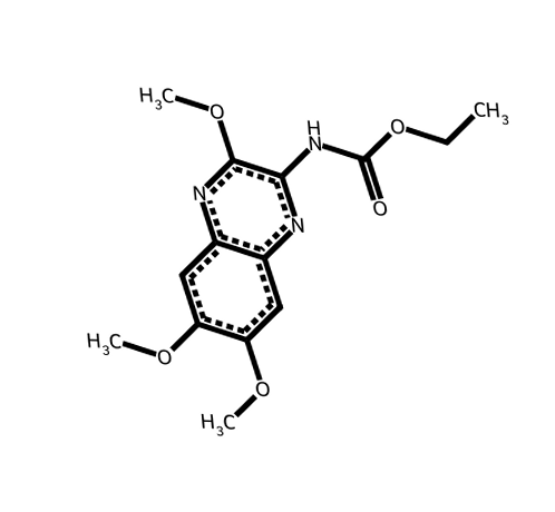 CCOC(=O)Nc1nc2cc(OC)c(OC)cc2nc1OC